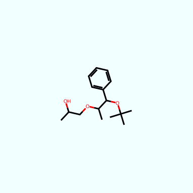 CC(O)COC(C)C(OC(C)(C)C)c1ccccc1